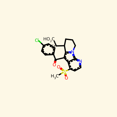 CCC(C(=O)O)C1CCCn2c1c(C(=O)c1ccc(Cl)cc1)c1c(S(C)(=O)=O)ccnc12